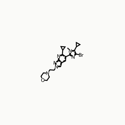 Cn1c(-c2cc3cn(CCN4CCOCC4)nc3nc2C2CC2)nc(Br)c1C1CC1